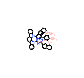 Bc1c(B)c(B)c(-c2ccc(-n3c4ccccc4c4ccc5c6ccccc6n(-c6nc(-c7ccccc7)nc(-c7ccc8ccccc8c7)n6)c5c43)cc2-c2ccccc2)c(B)c1B